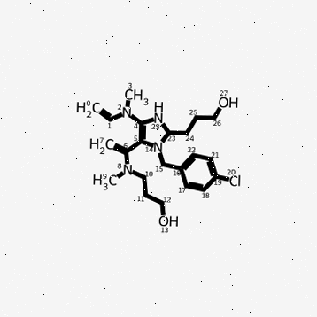 C=CN(C)C1=C(C(=C)N(C)CCCO)N(Cc2ccc(Cl)cc2)C(CCCO)N1